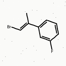 CC(=CBr)c1cccc(F)c1